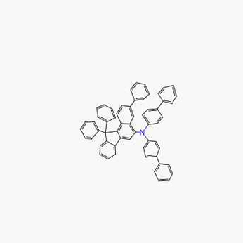 c1ccc(-c2ccc(N(c3ccc(-c4ccccc4)cc3)c3cc4c(c5ccc(-c6ccccc6)cc35)C(c3ccccc3)(c3ccccc3)c3ccccc3-4)cc2)cc1